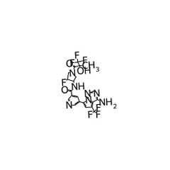 CC(O)(C(=O)N1C[C@H](F)[C@H](NC(=O)c2cncc(-c3cc(C(F)(F)F)c4c(N)ncnn34)c2)C1)C(F)(F)F